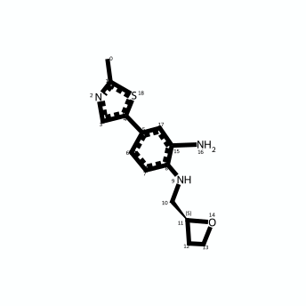 Cc1ncc(-c2ccc(NC[C@@H]3CCO3)c(N)c2)s1